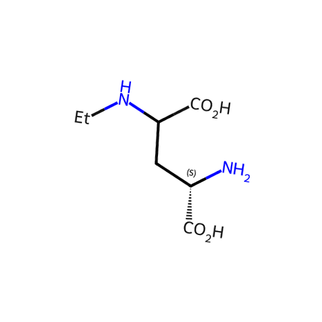 CCNC(C[C@H](N)C(=O)O)C(=O)O